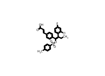 CC/C(=C(\OS(=O)(=O)c1ccc(C)cc1)c1ccc(C=CC(=O)O)cc1)c1ccc(F)cc1Cl